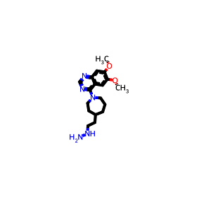 COc1cc2ncnc(N3CCCC(CCNN)CC3)c2cc1OC